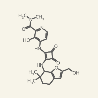 CN(C)C(=O)c1nccc(Nc2c(NC3c4oc(CO)cc4CCC3(C)C)c(=O)c2=O)c1O